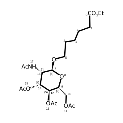 CCOC(=O)CCCCCO[C@H]1O[C@H](COC(C)=O)[C@@H](OC(C)=O)[C@H](OC(C)=O)[C@@H]1NC(C)=O